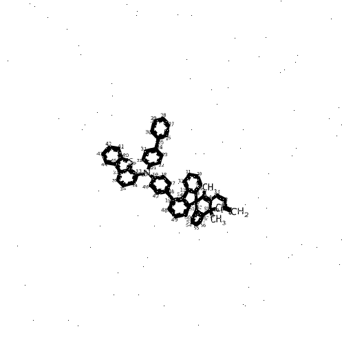 C=C/C=C\C1=C(C)C2(c3ccccc3-c3c(-c4ccc(N(c5ccc(-c6ccccc6)cc5)c5cccc6c5sc5ccccc56)cc4)cccc32)c2ccccc2C1(C)C